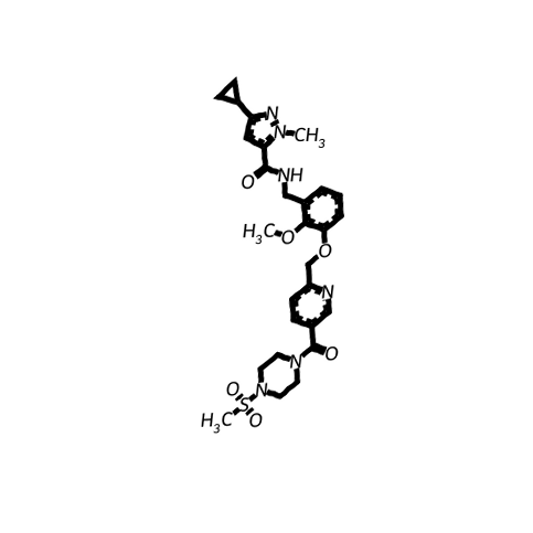 COc1c(CNC(=O)c2cc(C3CC3)nn2C)cccc1OCc1ccc(C(=O)N2CCN(S(C)(=O)=O)CC2)cn1